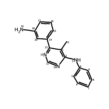 Cc1c(Nc2ccccc2)ncnc1-c1cccc(N)c1